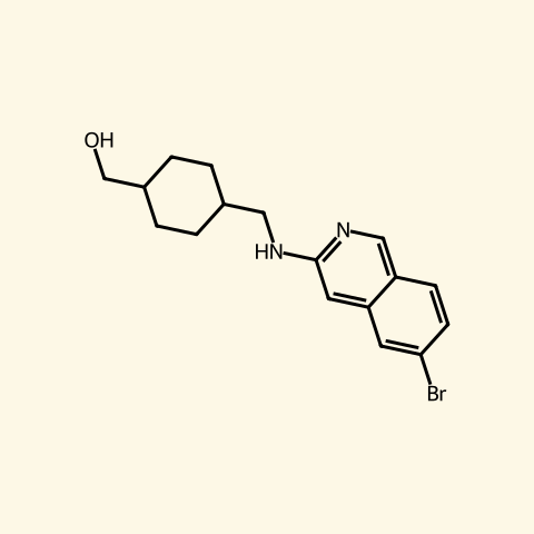 OCC1CCC(CNc2cc3cc(Br)ccc3cn2)CC1